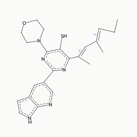 CC/C=C(C)/C=C(\C)c1nc(-c2cnc3[nH]ccc3c2)nc(N2CCOCC2)c1S